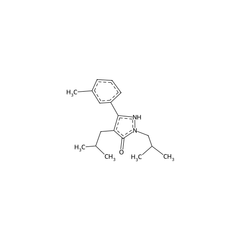 Cc1cccc(-c2[nH]n(CC(C)C)c(=O)c2CC(C)C)c1